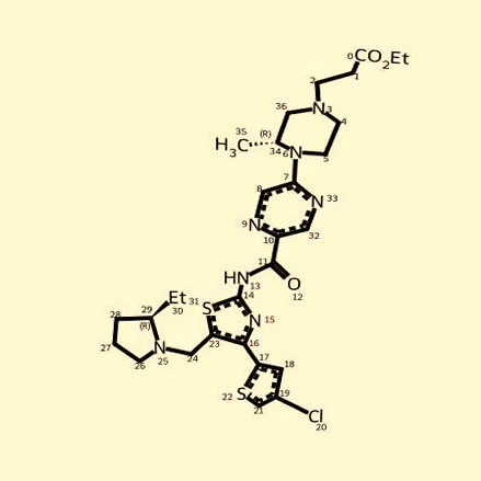 CCOC(=O)CCN1CCN(c2cnc(C(=O)Nc3nc(-c4cc(Cl)cs4)c(CN4CCC[C@H]4CC)s3)cn2)[C@H](C)C1